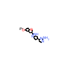 CC(C)Oc1ccc2c(c1)CC(c1nc3ccc(-c4ccnc(N)n4)cc3[nH]1)CO2